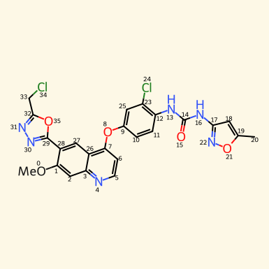 COc1cc2nccc(Oc3ccc(NC(=O)Nc4cc(C)on4)c(Cl)c3)c2cc1-c1nnc(CCl)o1